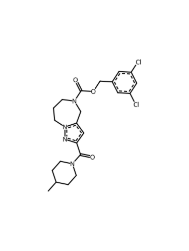 CC1CCN(C(=O)c2cc3n(n2)CCCN(C(=O)OCc2cc(Cl)cc(Cl)c2)C3)CC1